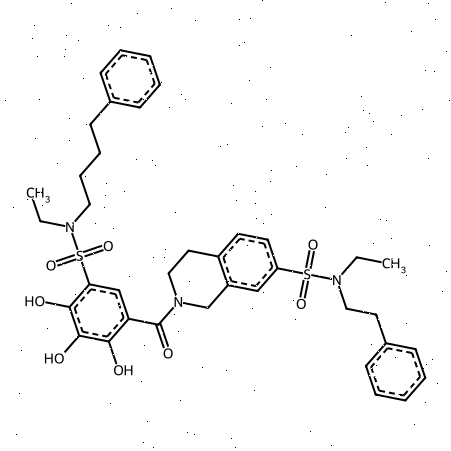 CCN(CCc1ccccc1)S(=O)(=O)c1ccc2c(c1)CN(C(=O)c1cc(S(=O)(=O)N(CC)CCCCc3ccccc3)c(O)c(O)c1O)CC2